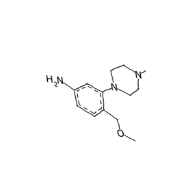 COCc1ccc(N)cc1N1CCN(C)CC1